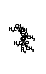 CCCC(=O)N(c1ccc(OCC(O)CNC(C)C)c(C(C)=O)c1)C(C)C